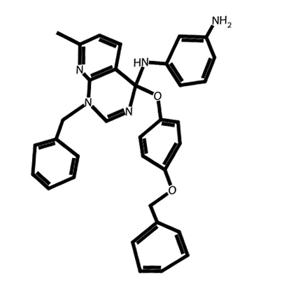 Cc1ccc2c(n1)N(Cc1ccccc1)C=NC2(Nc1cccc(N)c1)Oc1ccc(OCc2ccccc2)cc1